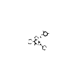 C[C@@H]1CN(c2c3n(c4nc(C5=CCOCC5)nn4c2=O)[C@H](C(=O)Nc2ccc(C(F)(F)F)cc2Cl)C[C@H]3C)CCN1